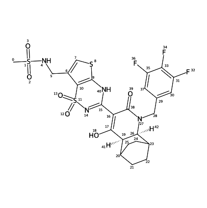 CS(=O)(=O)NCc1csc2c1S(=O)(=O)N=C(C1=C(O)[C@@H]3C4CCC(CC4)[C@@H]3N(Cc3cc(F)c(F)c(F)c3)C1=O)N2